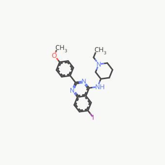 CCN1CCCC(Nc2nc(-c3ccc(OC)cc3)nc3ccc(I)cc23)C1